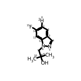 [2H]c1cc2cnn(CC(C)(C)O)c2cc1F